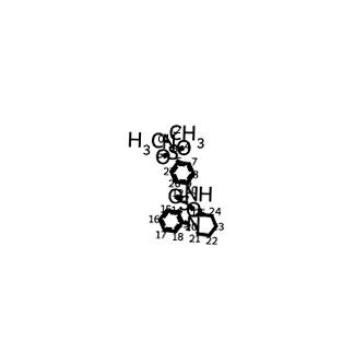 CN(C)S(=O)(=O)c1ccc(NS(=O)(=O)c2ccccc2N2CCCCC2)cc1